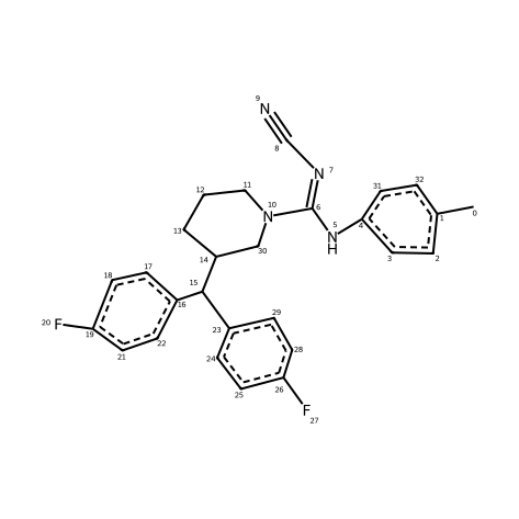 Cc1ccc(NC(=NC#N)N2CCCC(C(c3ccc(F)cc3)c3ccc(F)cc3)C2)cc1